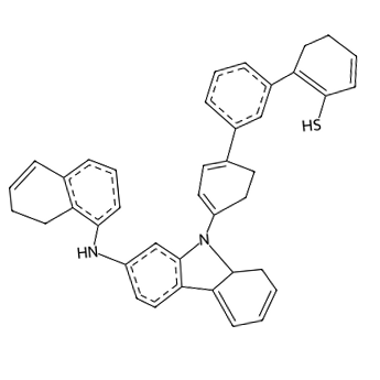 SC1=C(c2cccc(C3=CC=C(N4c5cc(Nc6cccc7c6CCC=C7)ccc5C5=CC=CCC54)CC3)c2)CCC=C1